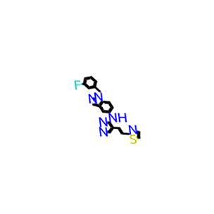 Fc1cccc(Cn2ncc3cc(Nc4ncncc4/C=C/c4nccs4)ccc32)c1